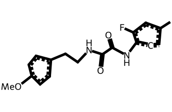 COc1ccc(CCNC(=O)C(=O)Nc2ccc(C)cc2F)cc1